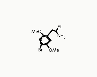 CCC(N)Cc1cc(OC)c(Br)cc1OC